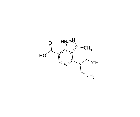 CCN(CC)c1ncc(C(=O)O)c2[nH]nc(C)c12